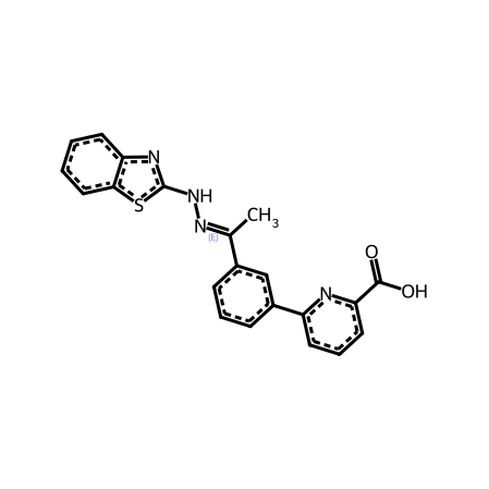 C/C(=N\Nc1nc2ccccc2s1)c1cccc(-c2cccc(C(=O)O)n2)c1